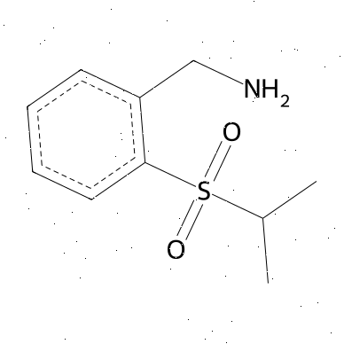 CC(C)S(=O)(=O)c1ccccc1CN